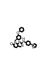 O=c1ccc2cnc(Nc3ccc(-n4cccn4)cc3)nc2n1Cc1cccc(Oc2ccccc2)c1